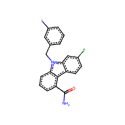 NC(=O)c1cccc2c1c1[c]cc(F)cc1n2Cc1cccc(I)c1